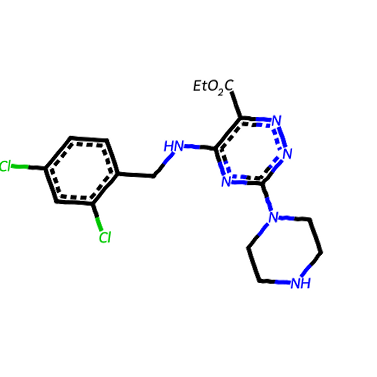 CCOC(=O)c1nnc(N2CCNCC2)nc1NCc1ccc(Cl)cc1Cl